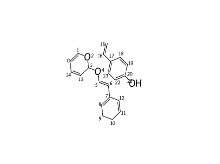 C1=COC(OC=CC2=CCCC=C2)C=C1.C=Cc1ccc(O)cc1